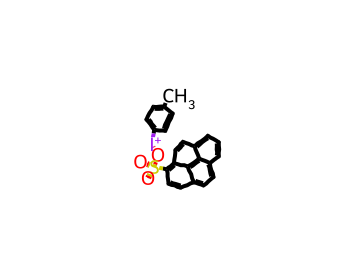 Cc1ccc([I+]OS(=O)(=O)c2ccc3ccc4cccc5ccc2c3c45)cc1